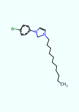 CCCCCCCCCCCN1C=CN(c2ccc(Br)cc2)C1